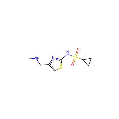 CNCc1csc(NS(=O)(=O)C2CC2)n1